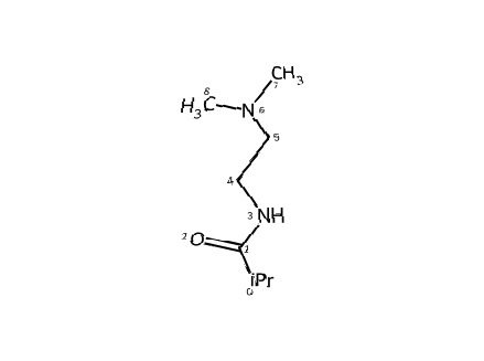 CC(C)C(=O)NCCN(C)C